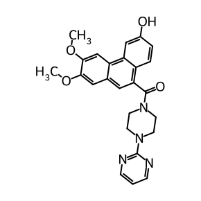 COc1cc2cc(C(=O)N3CCN(c4ncccn4)CC3)c3ccc(O)cc3c2cc1OC